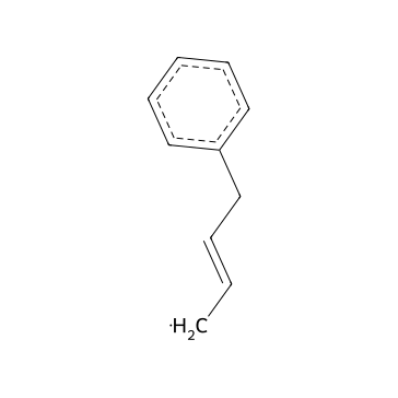 [CH2]C=CCc1ccccc1